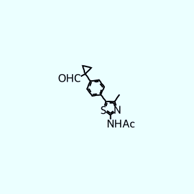 CC(=O)Nc1nc(C)c(-c2ccc(C3(C=O)CC3)cc2)s1